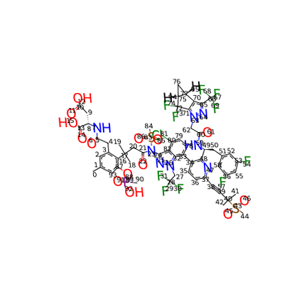 Cc1cc(CC(=O)N[C@@H](CC(=O)O)C(=O)O)c(C(C)(C)CC(=O)N(c2nn(CC(F)(F)F)c3c(-c4ccc(C#CC(C)(C)S(C)(=O)=O)nc4[C@H](Cc4cc(F)cc(F)c4)NC(=O)Cn4nc(C(F)(F)F)c5c4C(F)(F)[C@@H]4C[C@H]54)ccc(Cl)c23)S(C)(=O)=O)c(OP(C)(=O)O)c1